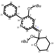 CCCCOc1c/c(=N/C2(OCCCC)CCCCO2)cnn1-c1ccccc1